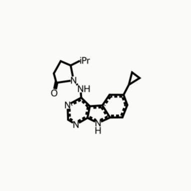 CC(C)C1CCC(=O)N1Nc1ncnc2[nH]c3ccc(C4CC4)cc3c12